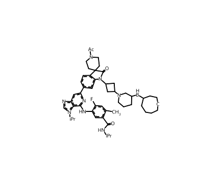 CC(=O)N1CCC2(CC1)C(=O)N(C1CC(N3CCCC(BC4CCCCCCC4)C3)C1)c1cc(-c3cc4ncn(C(C)C)c4c(Nc4cc(C(=O)NC(C)C)c(C)cc4F)n3)ccc12